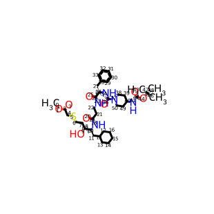 COC(=O)CSCC[C@H](O)[C@H](CC1CCCCC1)NC(=O)CCNC(=O)[C@H](Cc1ccccc1)NC(=O)N1CCC(NC(=O)OC(C)(C)C)CC1